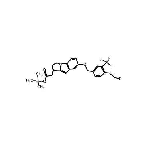 CC(C)(C)OC(=O)CC1CCn2c1cc1cc(OCc3ccc(OCF)c(C(F)(F)F)c3)ccc12